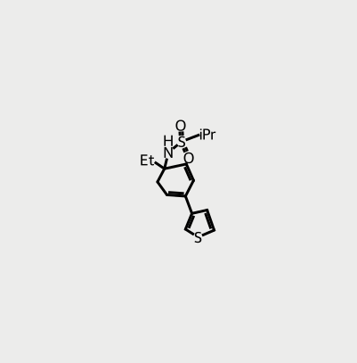 CCC1(NS(=O)(=O)C(C)C)C=CC(c2ccsc2)=CC1